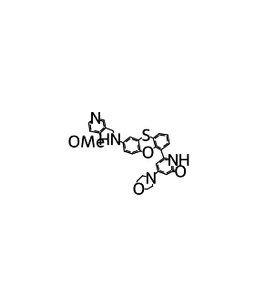 COc1ccncc1CNc1ccc2c(c1)Sc1cccc(-c3cc(N4CCOCC4)cc(=O)[nH]3)c1O2